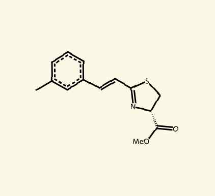 COC(=O)[C@H]1CSC(/C=C/c2cccc(C)c2)=N1